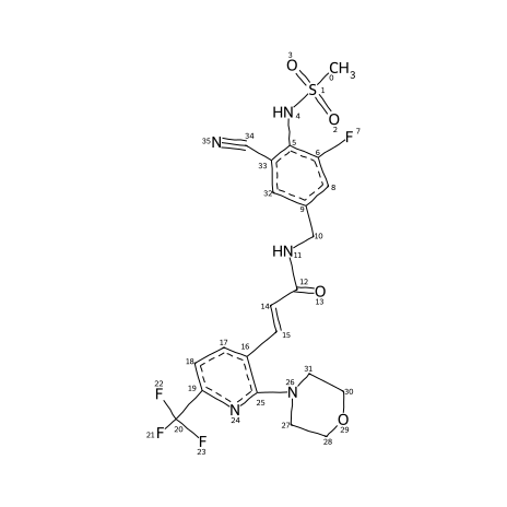 CS(=O)(=O)Nc1c(F)cc(CNC(=O)C=Cc2ccc(C(F)(F)F)nc2N2CCOCC2)cc1C#N